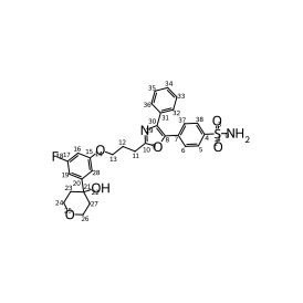 NS(=O)(=O)c1ccc(-c2oc(CCCOc3cc(F)cc(C4(O)CCOCC4)c3)nc2-c2ccccc2)cc1